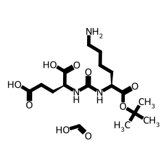 CC(C)(C)OC(=O)[C@H](CCCCN)NC(=O)N[C@@H](CCC(=O)O)C(=O)O.O=CO